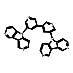 c1cc2c(cn1)c1cnccc1n2-c1cncc(-c2cncc(-n3c4ccncc4c4cnccc43)c2)c1